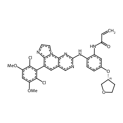 C=CC(=O)Nc1cc(O[C@@H]2CCOC2)ccc1Nc1ncc2cc(-c3c(Cl)c(OC)cc(OC)c3Cl)c3nccn3c2n1